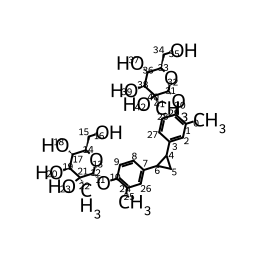 Cc1cc(C2CC2c2ccc(O[C@H]3O[C@H](CO)[C@@H](O)[C@H](O)[C@]3(C)O)c(C)c2)ccc1O[C@H]1O[C@H](CO)[C@@H](O)[C@H](O)[C@@]1(C)O